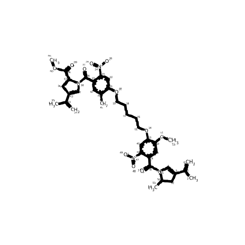 C=C(C)C1=CN(C(=O)c2cc(OC)c(OCCCCCOc3cc([N+](=O)[O-])c(C(=O)N4C=C(C(=C)C)CC4C(=O)OC)cc3C)cc2[N+](=O)[O-])C(C)C1